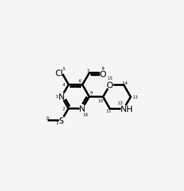 CSc1nc(Cl)c(C=O)c(C2CNCCO2)n1